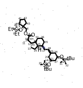 CC[Si](CC)(CC)OC1(COC(=O)[C@@H](C)[C@H]2CC[C@H]3/C(=C/C=C4C[C@@H](O[Si](C)(C)C(C)(C)C)C[C@H](O[Si](C)(C)C(C)(C)C)C4)CCC[C@]23C)CCCC1